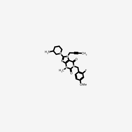 CC#CCn1c(N2CCCC(N)C2)nc2c1c(=O)n(Cc1ccc(OC)cc1F)c(=O)n2C